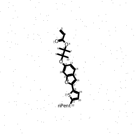 C=CC(=O)OC(C)(C)C(C)(C)Oc1ccc2cc(-c3ccc(CCCCC)s3)oc2c1